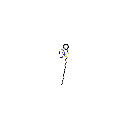 CCCCCCCCCCCC[S+](Cc1ccccc1)[N+](CC)(CC)CC